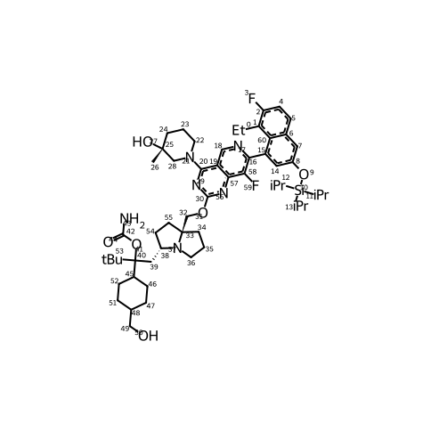 CCc1c(F)ccc2cc(O[Si](C(C)C)(C(C)C)C(C)C)cc(-c3ncc4c(N5CCC[C@@](C)(O)C5)nc(OC[C@@]56CCCN5[C@H](CC(OC(N)=O)(C5CCC(CO)CC5)C(C)(C)C)CC6)nc4c3F)c12